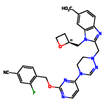 N#Cc1ccc(COc2nccc(N3C=NN(Cc4nc5ccc(C(=O)O)cc5n4C[C@@H]4CCO4)CC3)n2)c(F)c1